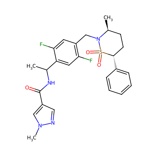 CC(NC(=O)c1cnn(C)c1)c1cc(F)c(CN2[C@@H](C)CC[C@H](c3ccccc3)S2(=O)=O)cc1F